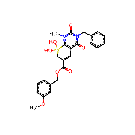 COc1cccc(COC(=O)C2=Cc3c(n(C)c(=O)n(Cc4ccccc4)c3=O)S(O)(O)C2)c1